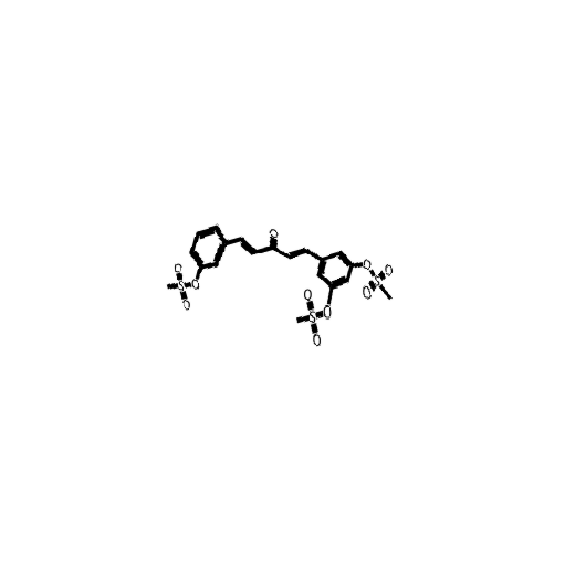 CS(=O)(=O)Oc1cccc(/C=C/C(=O)/C=C/c2cc(OS(C)(=O)=O)cc(OS(C)(=O)=O)c2)c1